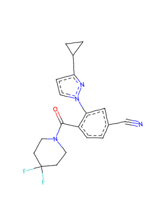 N#Cc1ccc(C(=O)N2CCC(F)(F)CC2)c(-n2ccc(C3CC3)n2)c1